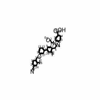 COCCn1c(Cc2ccc(-c3cccc(OCc4ccc(C#N)cc4F)c3)cc2F)nc2ccc(C(=O)O)cc21